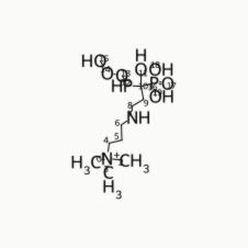 C[N+](C)(C)CCCNCCC(O)(POOO)P(=O)(O)O